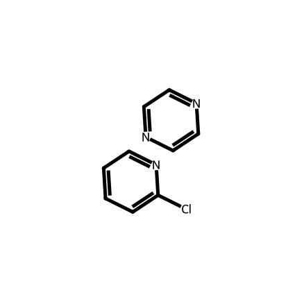 Clc1ccccn1.c1cnccn1